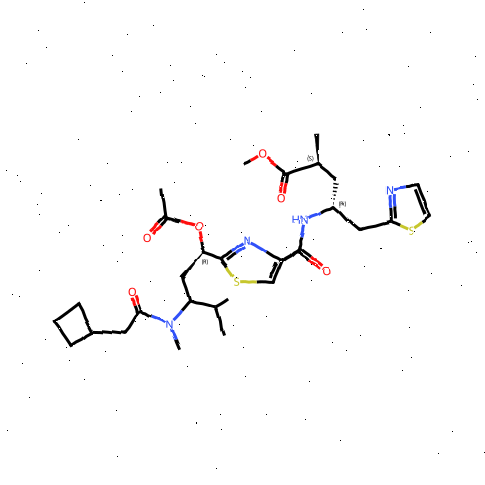 COC(=O)[C@@H](C)C[C@H](Cc1nccs1)NC(=O)c1csc([C@@H](CC(C(C)C)N(C)C(=O)CC2CCC2)OC(C)=O)n1